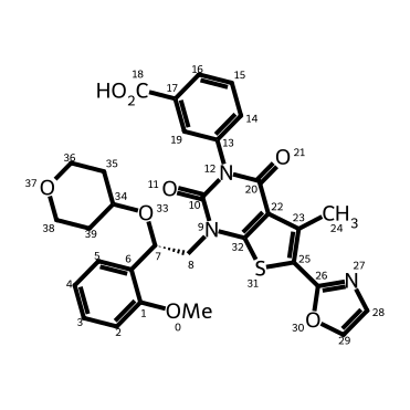 COc1ccccc1[C@@H](Cn1c(=O)n(-c2cccc(C(=O)O)c2)c(=O)c2c(C)c(-c3ncco3)sc21)OC1CCOCC1